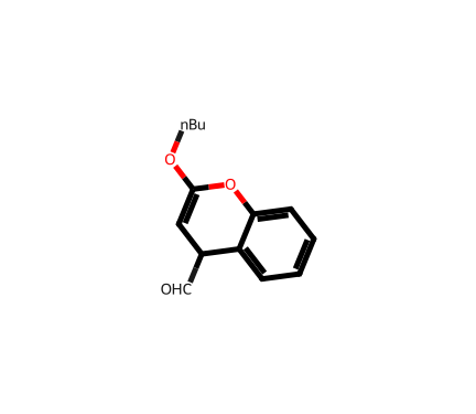 CCCCOC1=CC(C=O)c2ccccc2O1